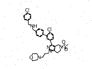 CS(=O)(=O)N1CCc2c(c(-c3ccc(Cl)c(-c4ccc(CNCc5ccc(Cl)cc5)cc4)c3)nn2CCCN2CCOCC2)C1